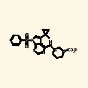 CC1(c2cn(S(=O)(=O)c3ccccc3)c3ncnc(N[C@@H]4CCCN(C(=O)O)C4)c23)CC1